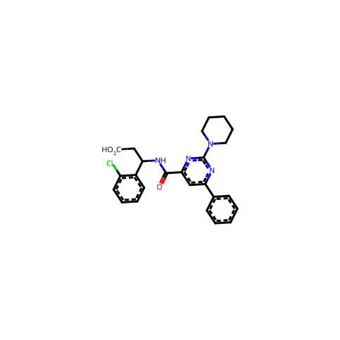 O=C(O)CC(NC(=O)c1cc(-c2ccccc2)nc(N2CCCCC2)n1)c1ccccc1Cl